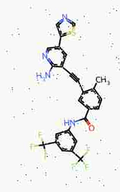 Cc1ccc(C(=O)Nc2cc(C(F)(F)F)cc(C(F)(F)F)c2)cc1C#Cc1cc(-c2cncs2)cnc1N